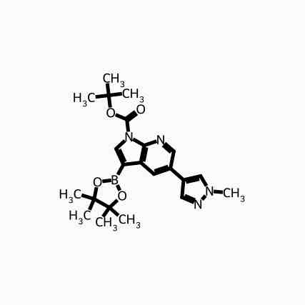 Cn1cc(-c2cnc3c(c2)c(B2OC(C)(C)C(C)(C)O2)cn3C(=O)OC(C)(C)C)cn1